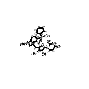 CC(C)(C)[Si](OC[C@@]1(CCCN=[N+]=[N-])O[C@@H](n2ccc(=O)[nH]c2=O)[C@H](O)[C@@H]1O)(c1ccccc1)c1ccccc1